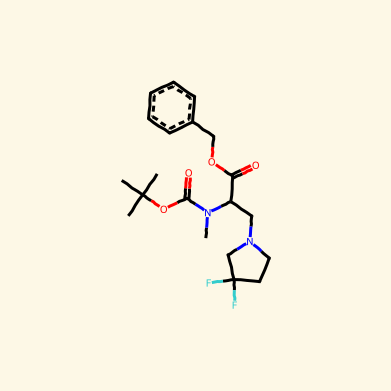 CN(C(=O)OC(C)(C)C)C(CN1CCC(F)(F)C1)C(=O)OCc1ccccc1